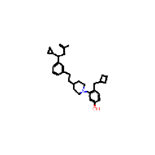 C=C(C)CC(c1cccc(CCC2CCN(c3cc(O)ccc3CC3CCC3)CC2)c1)C1CC1